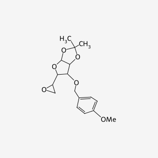 COc1ccc(COC2C(C3CO3)OC3OC(C)(C)OC32)cc1